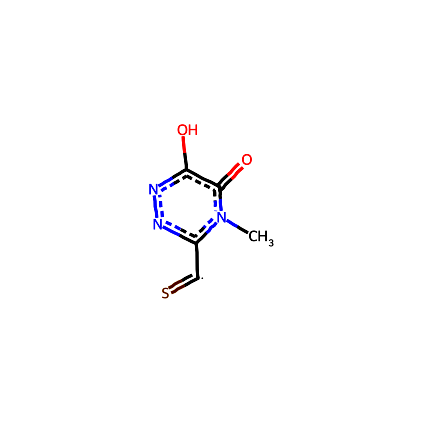 Cn1c([C]=S)nnc(O)c1=O